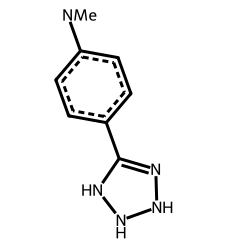 CNc1ccc(C2=NNNN2)cc1